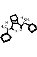 CN(C(=O)C1C(C(O)N(C)c2ccccc2)[C@H]2CC[C@@H]1C2)c1ccccc1